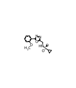 COc1ccccc1-c1nnc(CNS(=O)(=O)C2CC2)o1